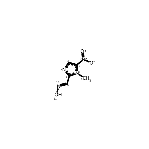 Cn1c([N+](=O)[O-])cnc1C=NO